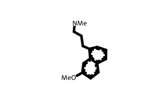 CNCCCc1cccc2ccc(OC)cc12